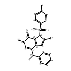 Cc1ccc(S(=O)(=O)n2c(I)cc3c(C(C)c4ccccc4)cn(C)c(=O)c32)cc1